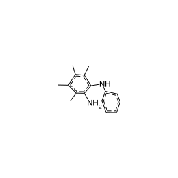 Cc1c(C)c(C)c(Nc2ccccc2)c(N)c1C